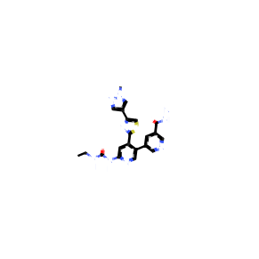 CCNC(=O)Nc1cc(-c2nc(-c3cnn(C)c3)cs2)c(-c2cncc(C(=O)NN)c2)cn1